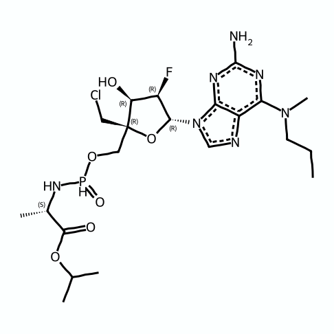 CCCN(C)c1nc(N)nc2c1ncn2[C@@H]1O[C@](CCl)(CO[PH](=O)N[C@@H](C)C(=O)OC(C)C)[C@@H](O)[C@H]1F